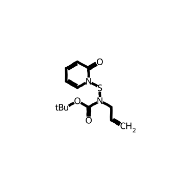 C=CCN(Sn1ccccc1=O)C(=O)OC(C)(C)C